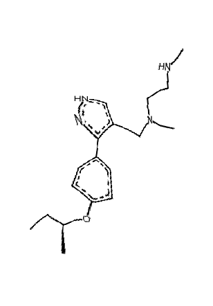 CC[C@H](C)Oc1ccc(-c2n[nH]cc2CN(C)CCNC)cc1